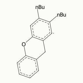 CCCCc1[c]c2c(cc1CCCC)Oc1ccccc1C2